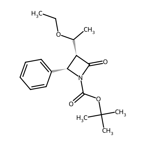 CCOC(C)[C@@H]1C(=O)N(C(=O)OC(C)(C)C)[C@@H]1c1ccccc1